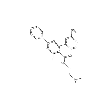 Cc1nc(-c2ccccc2)nc(-c2cccc([N+](=O)[O-])c2)c1C(=O)NCCN(C)C